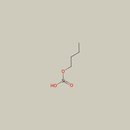 CCCCO[Si](=O)O